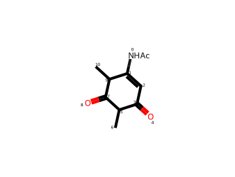 CC(=O)NC1=CC(=O)C(C)C(=O)C1C